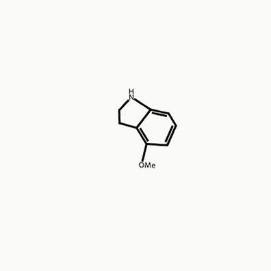 COc1cccc2c1CCN2